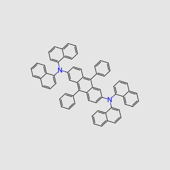 c1ccc(-c2c3ccc(N(c4cccc5ccccc45)c4cccc5ccccc45)cc3c(-c3ccccc3)c3ccc(N(c4cccc5ccccc45)c4cccc5ccccc45)cc23)cc1